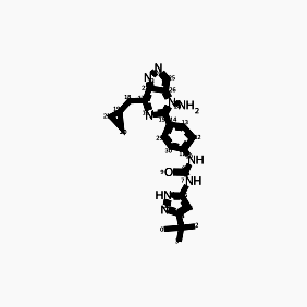 CC(C)(C)c1cc(NC(=O)Nc2ccc(-c3nc(CC4CC4)c4nncc-4n3N)cc2)[nH]n1